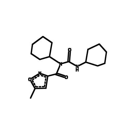 Cc1cc(C(=O)N(C(=O)NC2CCCCC2)C2CCCCC2)no1